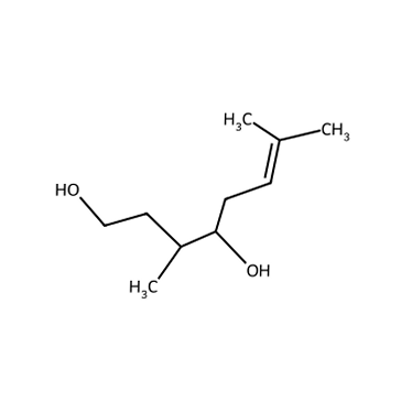 CC(C)=CCC(O)C(C)CCO